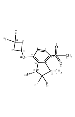 C[C@H]1c2c(S(C)(=O)=O)ccc(OC3CC(F)(F)C3)c2[C@@H](F)C1(F)F